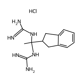 CC(NC(=N)N)(NC(=N)N)C1Cc2ccccc2C1.Cl